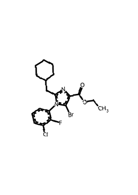 CCOC(=O)c1nc(CC2CCCCC2)n(-c2cccc(Cl)c2F)c1Br